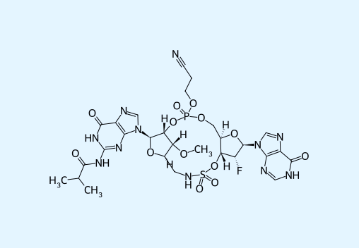 CO[C@H]1[C@H]2OP(=O)(OCCC#N)OC[C@H]3O[C@@H](n4cnc5c(=O)[nH]cnc54)[C@H](F)[C@@H]3OS(=O)(=O)NC[C@H]1O[C@H]2n1cnc2c(=O)[nH]c(NC(=O)C(C)C)nc21